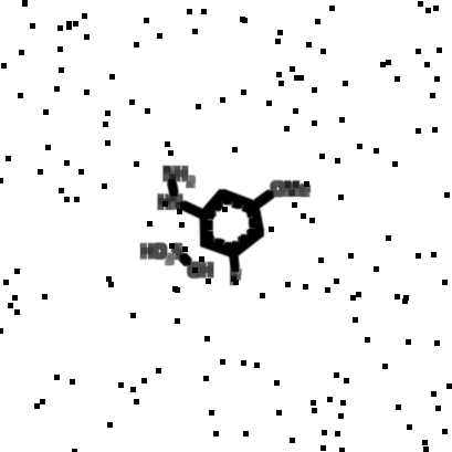 COc1cc(F)cc(NN)c1.O=S(=O)(O)O